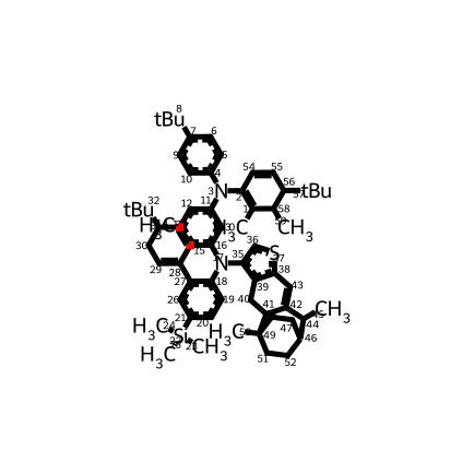 CC1=C(N(c2ccc(C(C)(C)C)cc2)c2cc(C)cc(N(c3ccc([Si](C)(C)C)cc3C3=CCC(C(C)(C)C)C=C3)c3csc4c3CC3C(=C4)C(C)C4CCC3(C)CC4)c2)C=CC(C(C)(C)C)C1C